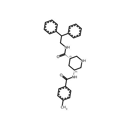 Cc1ccc(C(=O)N[C@H]2CNC[C@@H](C(=O)NCC(c3ccccc3)c3ccccc3)C2)cc1